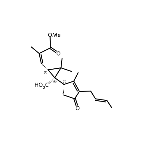 CC=CCC1=C(C)[C@@H]([C@@]2(C(=O)O)[C@H](C=C(C)C(=O)OC)C2(C)C)CC1=O